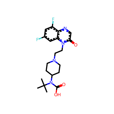 CC(C)(C)N(C(=O)O)C1CCN(CCn2c(=O)cnc3c(F)cc(F)cc32)CC1